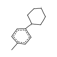 Cc1ccc([C]2CC[CH]CC2)cc1